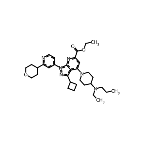 CCCN(CC)C1CCN(c2cc(C(=O)OCC)nc3c2c(C2CCC2)nn3-c2ccnc(C3CCOCC3)c2)CC1